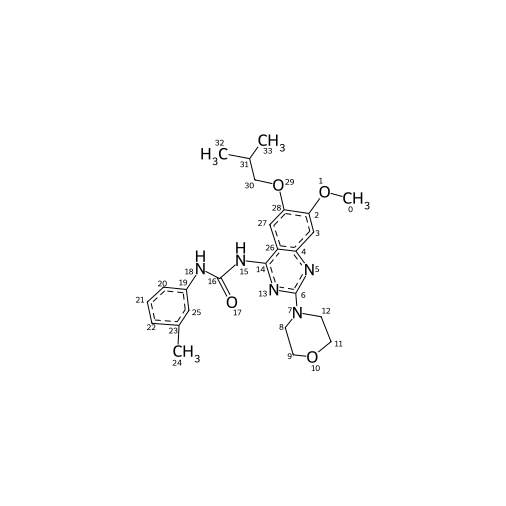 COc1cc2nc(N3CCOCC3)nc(NC(=O)Nc3cccc(C)c3)c2cc1OCC(C)C